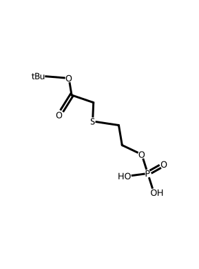 CC(C)(C)OC(=O)CSCCOP(=O)(O)O